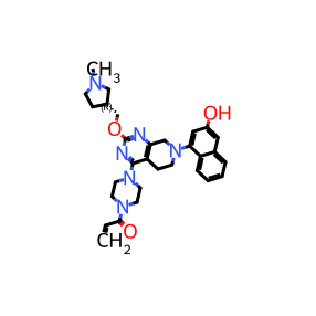 C=CC(=O)N1CCN(c2nc(OC[C@@H]3CCN(C)C3)nc3c2CCN(c2cc(O)cc4ccccc24)C3)CC1